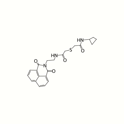 O=C(CSCC(=O)NC1CCC1)NCCN1C(=O)c2cccc3cccc(c23)C1=O